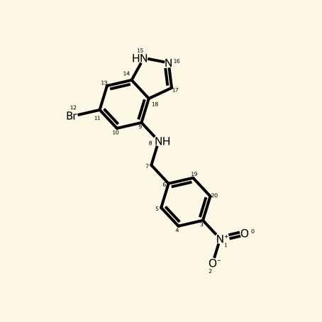 O=[N+]([O-])c1ccc(CNc2cc(Br)cc3[nH]ncc23)cc1